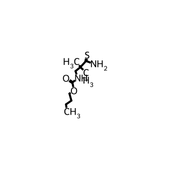 CCCCOC(=O)NCC(C)(C)C(N)=S